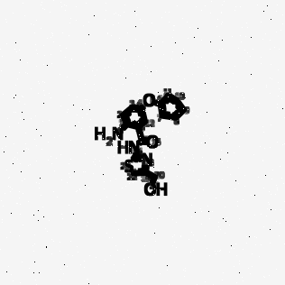 Nc1ccc(Oc2ccccc2)cc1C(=O)Nc1nc(CO)cs1